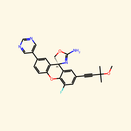 COC(C)(C)C#Cc1cc(F)c2c(c1)[C@@]1(COC(N)=N1)c1cc(-c3cncnc3)ccc1O2